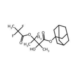 CC(F)(F)C(=O)OC(C)(C)C(C)(O)C(=O)OC12CC3CC(CC(C3)C1)C2